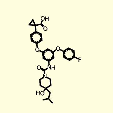 CC(C)CC1(O)CCN(C(=O)Nc2cc(Oc3ccc(F)cc3)cc(Oc3ccc(C4(C(=O)O)CC4)cc3)c2)CC1